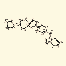 O=C(c1cnn2ccccc12)N1CCN(c2ccc3c(c2)CCN(C2CCCC2)CC3)CC1